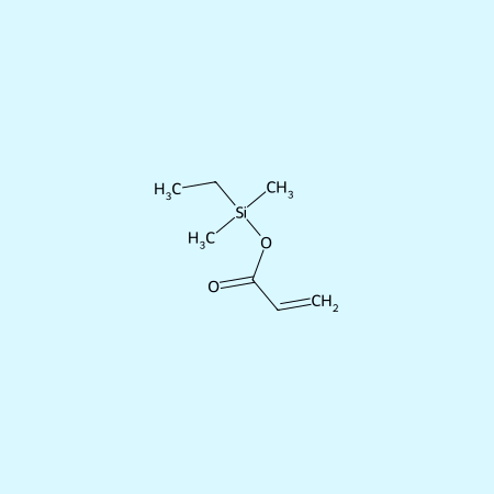 C=CC(=O)O[Si](C)(C)CC